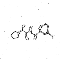 O=C(NNc1cc(I)ccn1)C(=O)N1CCCC1